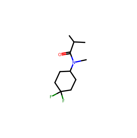 CC(C)C(=O)N(C)C1CCC(F)(F)CC1